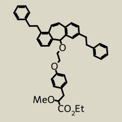 CCOC(=O)C(Cc1ccc(OCCOC2c3cc(CCc4ccccc4)ccc3C=Cc3c(CCc4ccccc4)cccc32)cc1)OC